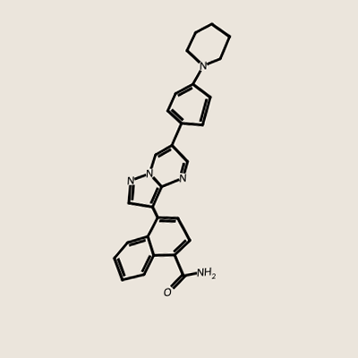 NC(=O)c1ccc(-c2cnn3cc(-c4ccc(N5CCCCC5)cc4)cnc23)c2ccccc12